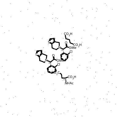 CC(=O)N[C@@H](CCC(=O)O)C(=O)O.COC(=O)[C@H](c1ccccc1Cl)N1CCc2sccc2C1.COC(=O)[C@H](c1ccccc1Cl)N1CCc2sccc2C1.O=C(O)CCCC(=O)O